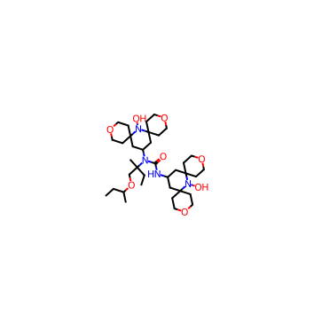 CCC(C)OCC(C)(CC)N(C(=O)NC1CC2(CCOCC2)N(O)C2(CCOCC2)C1)C1CC2(CCOCC2)N(O)C2(CCOCC2)C1